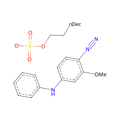 CCCCCCCCCCCCOS(=O)(=O)[O-].COc1cc(Nc2ccccc2)ccc1[N+]#N